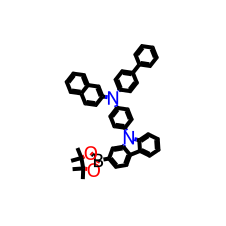 CC1(C)OB(c2ccc3c4ccccc4n(-c4ccc(N(c5ccc(-c6ccccc6)cc5)c5ccc6ccccc6c5)cc4)c3c2)OC1(C)C